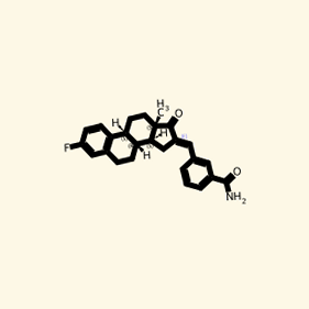 C[C@]12CC[C@@H]3c4ccc(F)cc4CC[C@H]3[C@@H]1C/C(=C\c1cccc(C(N)=O)c1)C2=O